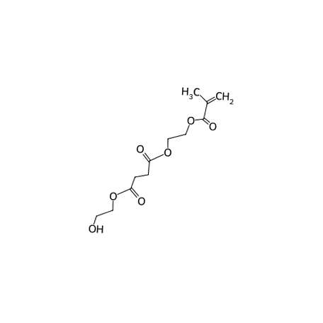 C=C(C)C(=O)OCCOC(=O)CCC(=O)OCCO